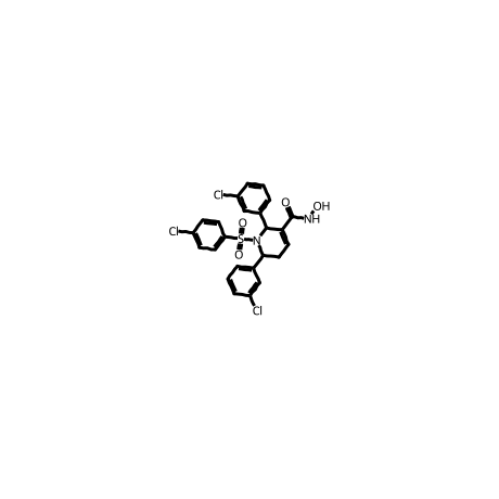 O=C(NO)C1=CCC(c2cccc(Cl)c2)N(S(=O)(=O)c2ccc(Cl)cc2)C1c1cccc(Cl)c1